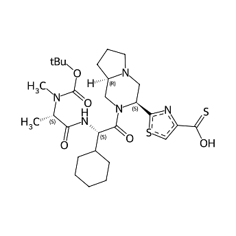 C[C@@H](C(=O)N[C@H](C(=O)N1C[C@H]2CCCN2C[C@H]1c1nc(C(O)=S)cs1)C1CCCCC1)N(C)C(=O)OC(C)(C)C